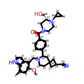 COc1cc(C)c2[nH]ccc2c1CN1CCC2(CC(C#N)C2)CC1c1ccc(C(=O)N2CCN(C3CC3)[C@@H](CO)C2)cc1